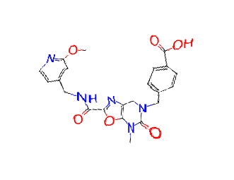 COc1cc(CNC(=O)c2nc3c(o2)N(C)C(=O)N(Cc2ccc(C(=O)O)cc2)C3)ccn1